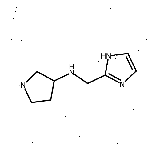 c1c[nH]c(CNC2CC[N]C2)n1